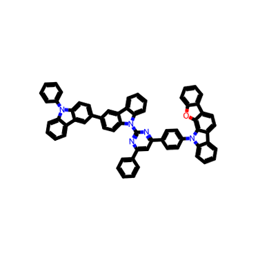 c1ccc(-c2cc(-c3ccc(-n4c5ccccc5c5ccc6c7ccccc7oc6c54)cc3)nc(-n3c4ccccc4c4cc(-c5ccc6c(c5)c5ccccc5n6-c5ccccc5)ccc43)n2)cc1